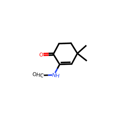 CC1(C)C=C(NC=O)C(=O)CC1